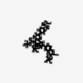 CC(C)S(=O)(=O)c1ccc(-c2cnc(N(C(=O)OC(C)(C)C)C(=O)OC(C)(C)C)c(-c3cc(-c4ccc(CN(C)C(=O)OC(C)(C)C)cc4)no3)n2)cc1